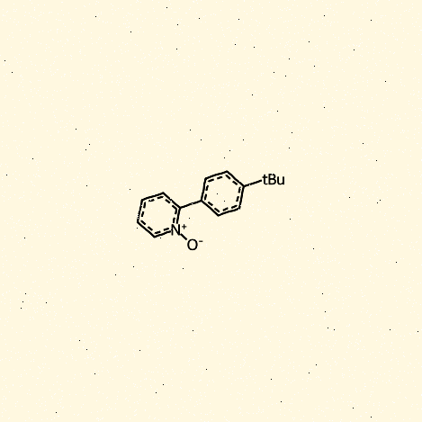 CC(C)(C)c1ccc(-c2cccc[n+]2[O-])cc1